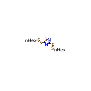 CCCCCCSSc1nsc(SSCCCCCC)n1